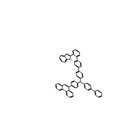 c1ccc(-c2ccc(N(c3ccc(-c4ccc(-c5ccccc5-c5cc6ccccc6o5)cc4)cc3)c3ccc(-c4cc5ccccc5c5ccccc45)cc3)cc2)cc1